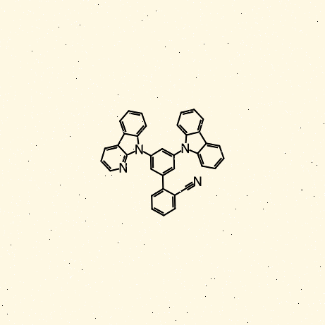 N#Cc1ccccc1-c1cc(-n2c3ccccc3c3ccccc32)cc(-n2c3ccccc3c3cccnc32)c1